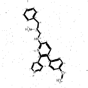 COc1ccc(-c2ccc(NC[C@H](N)Cc3ccccc3)nc2-c2ccncc2)cc1